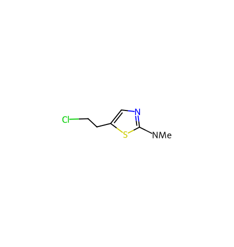 CNc1ncc(CCCl)s1